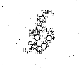 COc1ccc(-c2ccc3ncc4c(c3c2)n(-c2ccc(N3CCN(c5ncc(CN)cn5)CC3)c(C(F)(F)F)c2)c(=O)n4C)cn1